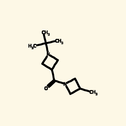 CC1CN(C(=O)C2CN(C(C)(C)C)C2)C1